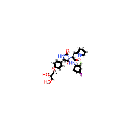 O=C(Nc1ccc(I)cc1F)[C@H](Cc1ccccn1)N1C(=O)N[C@H](c2ccc(OC[C@@H](O)CO)cc2)C1=O